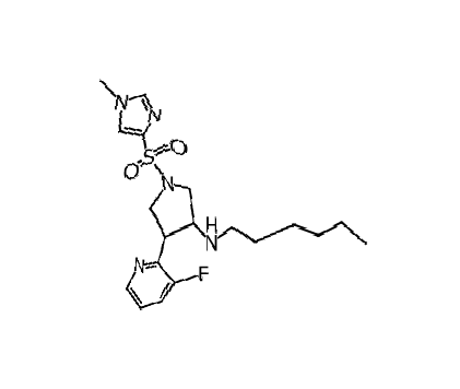 CCCCCCNC1CN(S(=O)(=O)c2cn(C)cn2)CC1c1ncccc1F